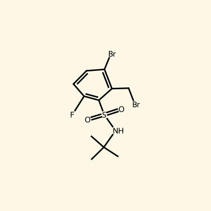 CC(C)(C)NS(=O)(=O)c1c(F)ccc(Br)c1CBr